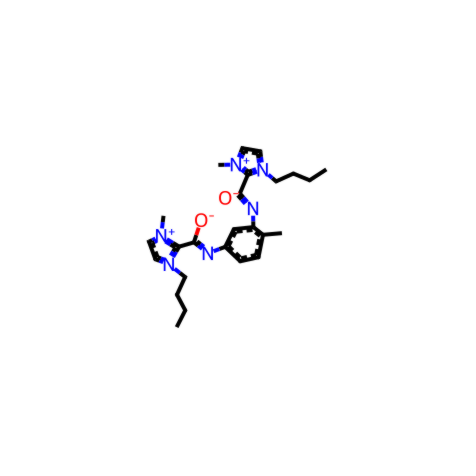 CCCCn1cc[n+](C)c1C([O-])=Nc1cc(/N=C(\[O-])c2n(CCCC)cc[n+]2C)ccc1C